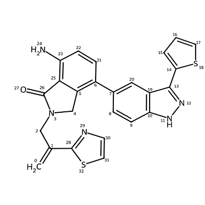 C=C(CN1Cc2c(-c3ccc4[nH]nc(-c5cccs5)c4c3)ccc(N)c2C1=O)c1nccs1